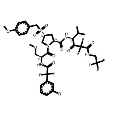 COC[C@H](NC(=O)C(F)(F)c1cccc(Cl)c1)C(=O)N1C[C@H](S(=O)(=O)Cc2ccc(OC)cc2)C[C@H]1C(=O)N[C@H](C(=O)C(F)(F)C(=O)NCC(F)(F)F)C(C)C